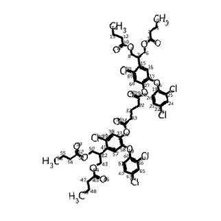 CCCC(=O)OCC(COC(=O)CCC)c1cc(Oc2ccc(Cl)cc2Cl)c(OC(=O)CCCC(=O)Oc2cc(Cl)c(C(COC(=O)CCC)COC(=O)CCC)cc2Oc2ccc(Cl)cc2Cl)cc1Cl